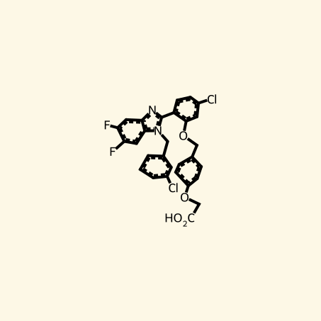 O=C(O)COc1ccc(COc2cc(Cl)ccc2-c2nc3cc(F)c(F)cc3n2Cc2cccc(Cl)c2)cc1